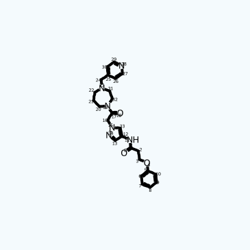 O=C(CCOc1ccccc1)Nc1cnn(CC(=O)N2CCCN(Cc3ccncc3)CC2)c1